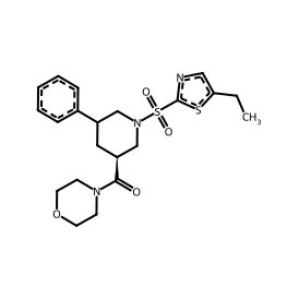 CCc1cnc(S(=O)(=O)N2CC(c3ccccc3)C[C@H](C(=O)N3CCOCC3)C2)s1